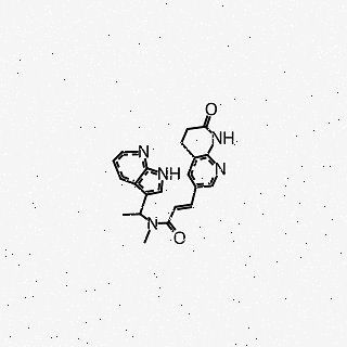 CC(c1c[nH]c2ncccc12)N(C)C(=O)C=Cc1cnc2c(c1)CCC(=O)N2